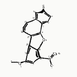 COc1cc([N+](=O)[O-])c2oc3c4ccccc4ccc3c2c1